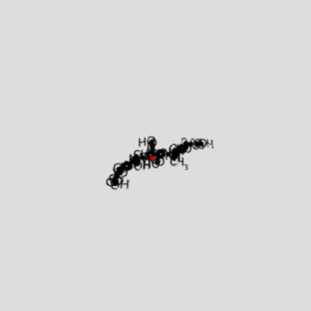 Cc1nn(-c2ccc(S(=O)(=O)CCOS(=O)(=O)O)cc2)c(O)c1/N=N/c1ccc(-c2ccc(/N=N/c3c(C)nn(-c4ccc(S(=O)(=O)CCOSOOO)cc4)c3O)cc2S(=O)(=O)O)c(SOOO)c1